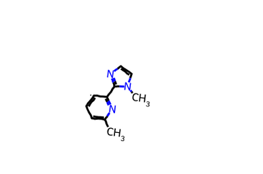 Cc1cc[c]c(-c2nccn2C)n1